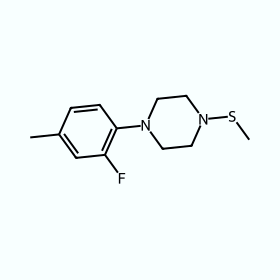 CSN1CCN(c2ccc(C)cc2F)CC1